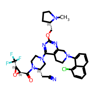 CN1CCC[C@H]1COc1nc2c(c(N3CCN(C(=O)[C@H]4O[C@@H]4C(F)(F)F)[C@@H](CC#N)C3)n1)CCN(c1cccc3cccc(Cl)c13)C2